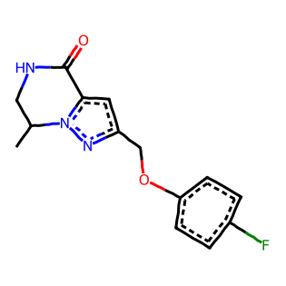 CC1CNC(=O)c2cc(COc3ccc(F)cc3)nn21